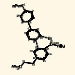 CCCCCc1ccc(-c2ccc(-c3cc(CCOC)ccc3OCCCC)c(CC)c2)cc1